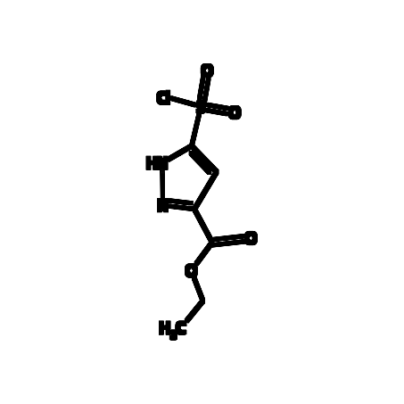 CCOC(=O)c1cc(S(=O)(=O)Cl)[nH]n1